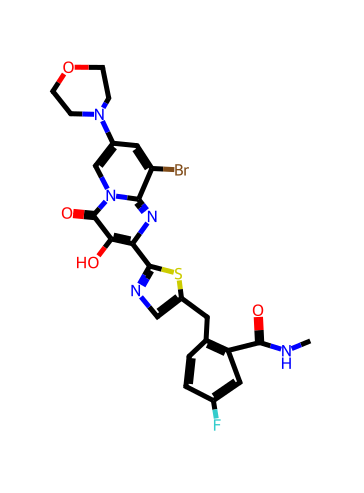 CNC(=O)c1cc(F)ccc1Cc1cnc(-c2nc3c(Br)cc(N4CCOCC4)cn3c(=O)c2O)s1